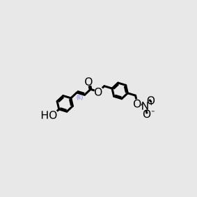 O=C(/C=C/c1ccc(O)cc1)OCc1ccc(CO[N+](=O)[O-])cc1